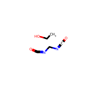 CCO.O=C=NCN=C=O